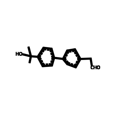 CC(C)(O)c1ccc(-c2ccc(CC=O)cc2)cc1